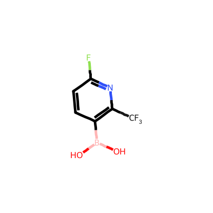 OB(O)c1ccc(F)nc1C(F)(F)F